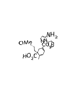 COCCCC1(C(=O)O)CC(C(=O)O)=CC=C1C.Nc1ccnn1-c1ccccc1